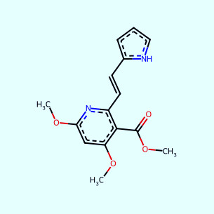 COC(=O)c1c(OC)cc(OC)nc1C=Cc1ccc[nH]1